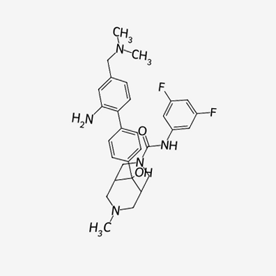 CN(C)Cc1ccc(-c2ccc(C3(O)C4CN(C)CC3CN(C(=O)Nc3cc(F)cc(F)c3)C4)cc2)c(N)c1